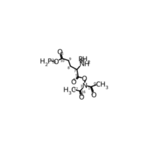 CC(=O)N(OC(=O)C(CCC(=O)OP)NP)C(C)=O